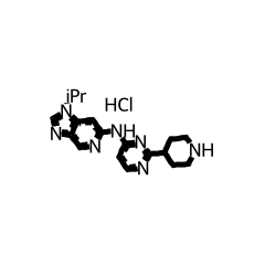 CC(C)n1cnc2cnc(Nc3ccnc(C4CCNCC4)n3)cc21.Cl